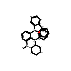 COc1cccc(-n2c3ccccc3c3ccccc32)c1P(C1CCCCC1)C1CCCCC1